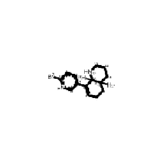 Brc1ccc(C2=CCC[C@H]3CCCN[C@@H]23)cn1